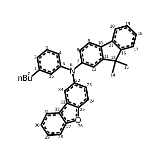 CCCCc1cccc(N(c2ccc3c(c2)C(C)(C)c2ccccc2-3)c2ccc3oc4ccccc4c3c2)c1